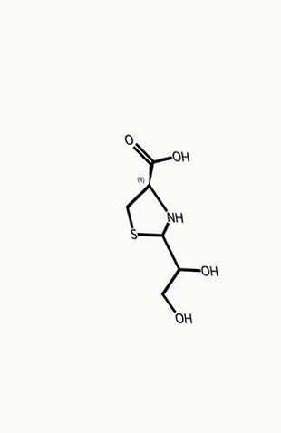 O=C(O)[C@@H]1CSC(C(O)CO)N1